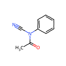 CC(=O)N(C#N)c1ccccc1